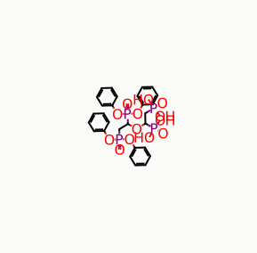 O=P(O)(O)CC(OC(CP(=O)(Oc1ccccc1)Oc1ccccc1)P(=O)(Oc1ccccc1)Oc1ccccc1)P(=O)(O)O